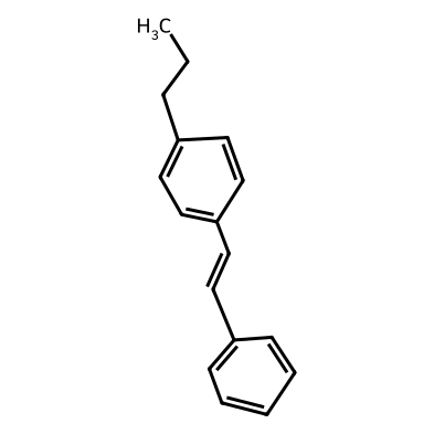 CCCc1ccc(C=Cc2ccccc2)cc1